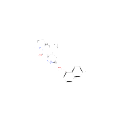 N#C[C@@H]1CCCN1C(=O)[C@@H]1CC[C@H](COc2cccc3ccccc23)N1